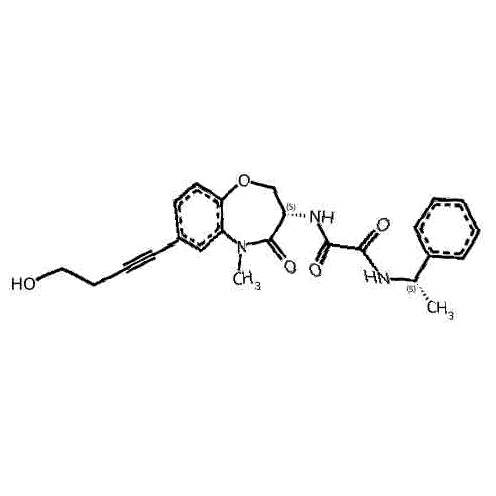 C[C@H](NC(=O)C(=O)N[C@H]1COc2ccc(C#CCCO)cc2N(C)C1=O)c1ccccc1